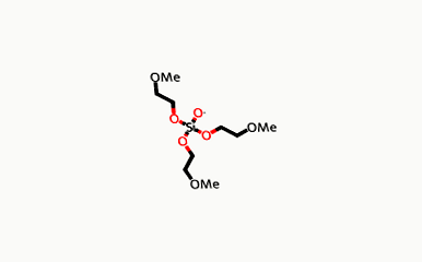 COCCO[Si]([O])(OCCOC)OCCOC